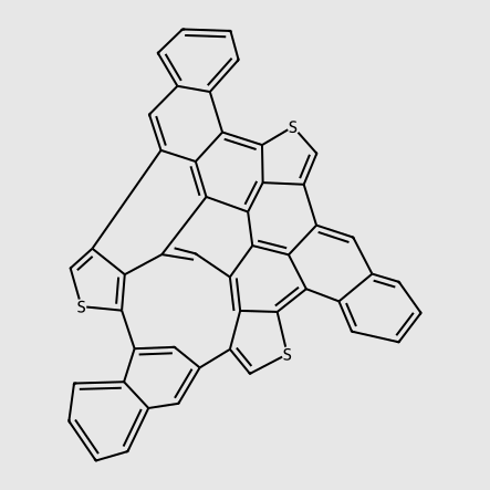 c1ccc2c(c1)cc1cc2c2scc3c4cc5ccccc5c5c6scc7c8cc9ccccc9c9c%10scc1c%10c1cc(c32)c(c45)c(c76)c1c89